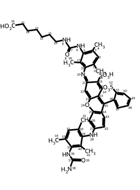 Cc1cc(C)c(NC(=O)NCCCCCCC(=O)O)c(C)c1/N=c1/cc2oc3cc(Nc4c(C)cc(C)c(NC(N)=O)c4C)ccc3c(-c3ccccc3S(=O)(=O)O)c-2cc1S(=O)(=O)O